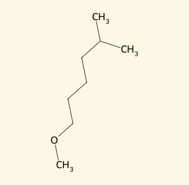 COCCCCC(C)C